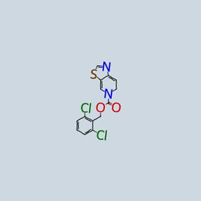 O=C(OCc1c(Cl)cccc1Cl)N1C=c2scnc2=CC1